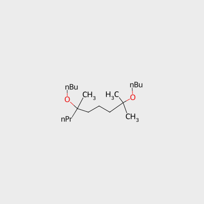 [CH2]CCC(C)(CCCC(C)(C)OCCCC)OCCCC